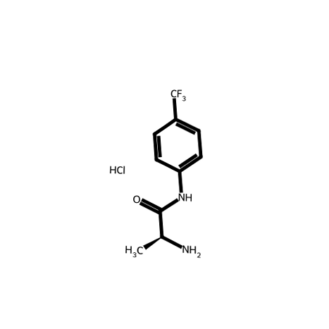 C[C@H](N)C(=O)Nc1ccc(C(F)(F)F)cc1.Cl